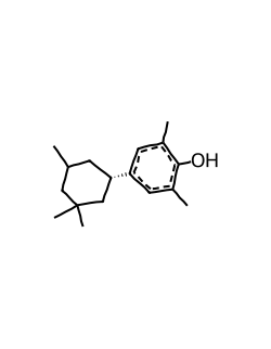 Cc1cc([C@H]2CC(C)CC(C)(C)C2)cc(C)c1O